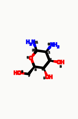 N[C@H]1[C@@H](O)[C@H](O)[C@@H](CO)O[C@H]1N